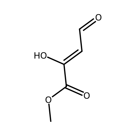 COC(=O)C(O)=CC=O